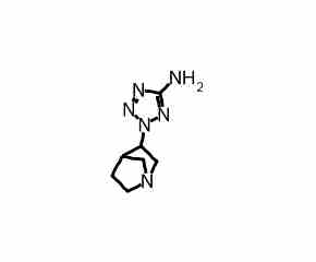 Nc1nnn(C2CN3CCC2C3)n1